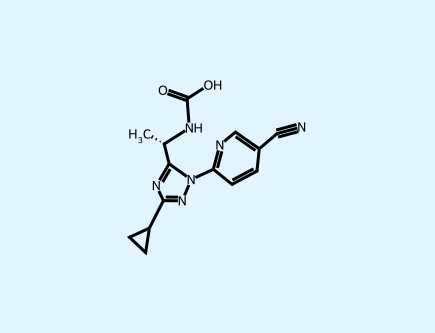 C[C@H](NC(=O)O)c1nc(C2CC2)nn1-c1ccc(C#N)cn1